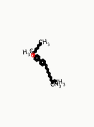 CCCCCC[C@@H](C)Oc1ccc(-c2ccc(CCCCCCCCC(C)CC)cc2)cc1